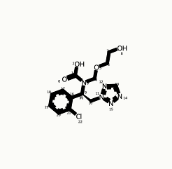 O=C(O)N(COCCO)[C@@H](Cn1ncnn1)c1ccccc1Cl